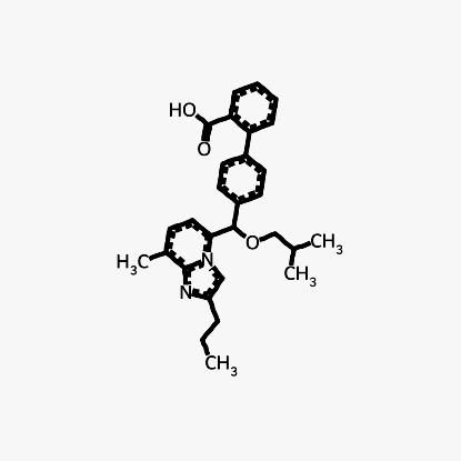 CCCc1cn2c(C(OCC(C)C)c3ccc(-c4ccccc4C(=O)O)cc3)ccc(C)c2n1